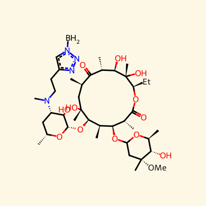 Bn1cc(CCN(C)[C@H]2C[C@@H](C)O[C@@H](O[C@@H]3[C@H](C)[C@H](OC4C[C@@](C)(OC)[C@@H](O)[C@H](C)O4)[C@@H](C)C(=O)O[C@H](CC)[C@@](C)(O)[C@H](O)[C@@H](C)C(=O)[C@H](C)C[C@@]3(C)O)[C@@H]2O)nn1